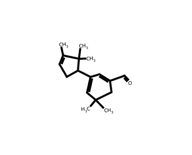 CC1=CCC(C2=CC(C)(C)CC(C=O)=C2)C1(C)C